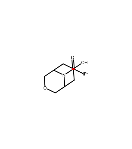 CC(C)C(=O)N1C2COCC1CC(O)C2